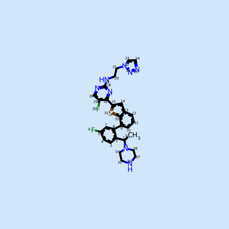 CC(c1ccc(F)cc1-c1cccc2cc(-c3nc(NCCn4ccnn4)ncc3F)sc12)N1CCNCC1